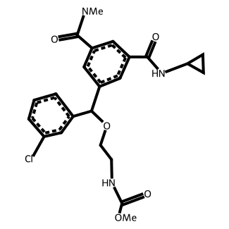 CNC(=O)c1cc(C(=O)NC2CC2)cc(C(OCCNC(=O)OC)c2cccc(Cl)c2)c1